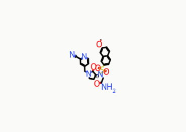 COc1ccc2ccc(S(=O)(=O)N(CC(N)=O)[C@H]3CCN(Cc4ccnc(C#N)c4)C3=O)cc2c1